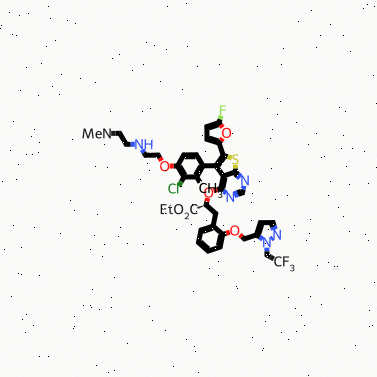 CCOC(=O)[C@@H](Cc1ccccc1OCc1ccnn1CC(F)(F)F)Oc1ncnc2sc(-c3ccc(F)o3)c(-c3ccc(OCCNCCNC)c(Cl)c3C)c12